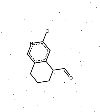 O=CC1CCCc2cnc(Cl)cc21